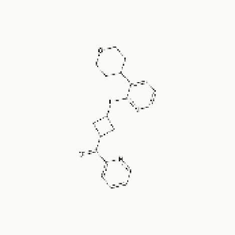 O=C(c1ccccn1)C1CC(Oc2ncccc2C2CCOCC2)C1